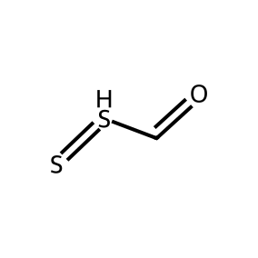 O=C[SH]=S